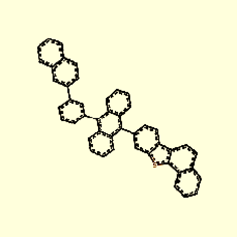 c1cc(-c2ccc3ccccc3c2)cc(-c2c3ccccc3c(-c3ccc4c(c3)sc3c5ccccc5ccc43)c3ccccc23)c1